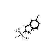 Cc1ccc2sc([Si](F)(C(C)(C)C)C(C)(C)C)cc2c1